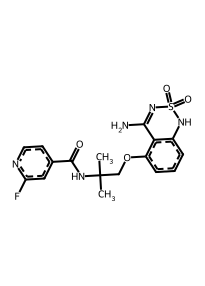 CC(C)(COc1cccc2c1C(N)=NS(=O)(=O)N2)NC(=O)c1ccnc(F)c1